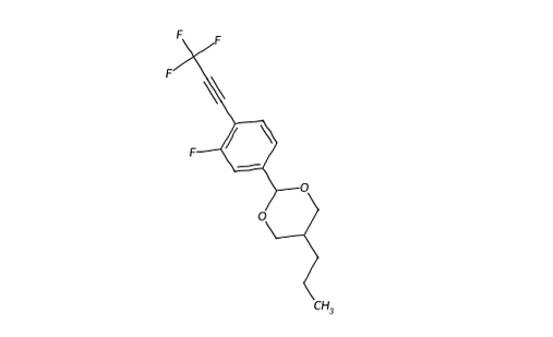 CCCC1COC(c2ccc(C#CC(F)(F)F)c(F)c2)OC1